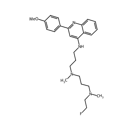 COc1ccc(-c2cc(NCCCN(C)CCCN(C)CCF)c3ccccc3n2)cc1